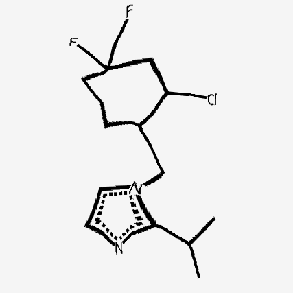 CC(C)c1nccn1CC1CCC(F)(F)CC1Cl